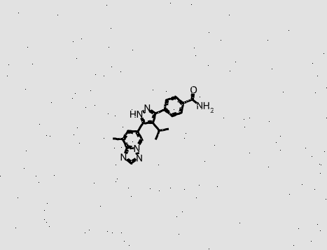 Cc1cc(-c2[nH]nc(-c3ccc(C(N)=O)cc3)c2C(C)C)cn2ncnc12